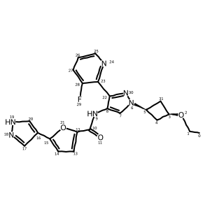 CCO[C@H]1C[C@@H](n2cc(NC(=O)c3ccc(-c4cn[nH]c4)o3)c(-c3ncccc3F)n2)C1